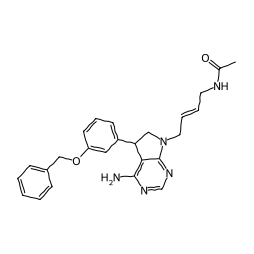 CC(=O)NCC=CCN1CC(c2cccc(OCc3ccccc3)c2)c2c(N)ncnc21